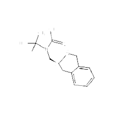 CC(C)(C)N(C[C@@H]1Cc2ccccc2CN1)C(=O)O